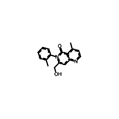 Cc1ccccc1-n1c(CO)cc2nccc(C)c2c1=O